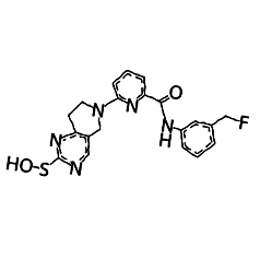 O=C(Nc1cccc(CF)c1)c1cccc(N2CCc3nc(SO)ncc3C2)n1